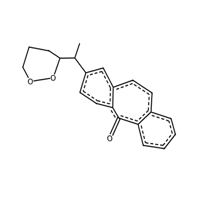 CC(c1ccc2c(=O)c3ccccc3ccc2c1)C1CCCOO1